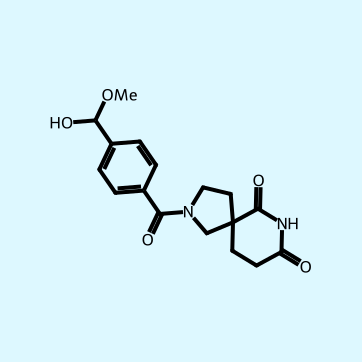 COC(O)c1ccc(C(=O)N2CCC3(CCC(=O)NC3=O)C2)cc1